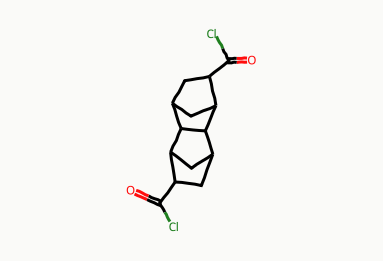 O=C(Cl)C1CC2CC1C1C3CC(C(=O)Cl)C(C3)C21